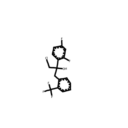 OC(CCl)(Cc1ccccc1C(F)(F)F)c1ccc(F)cc1F